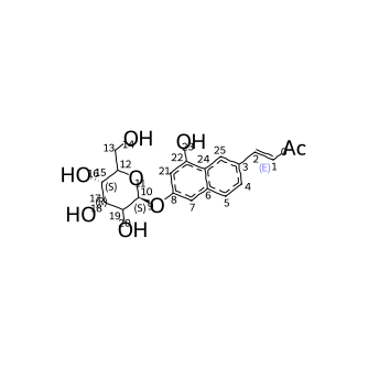 CC(=O)/C=C/c1ccc2cc(O[C@@H]3OC(CO)[C@@H](O)[C@@H](O)C3O)cc(O)c2c1